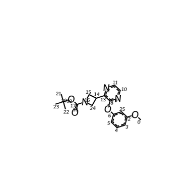 COc1cccc(Oc2nccnc2C2CN(C(=O)OC(C)(C)C)C2)c1